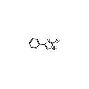 [S]c1nc(-c2ccccc2)c[nH]1